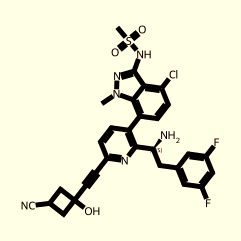 Cn1nc(NS(C)(=O)=O)c2c(Cl)ccc(-c3ccc(C#CC4(O)CC(C#N)C4)nc3[C@@H](N)Cc3cc(F)cc(F)c3)c21